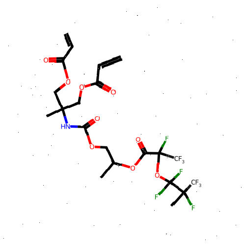 C=CC(=O)OCC(C)(COC(=O)C=C)NC(=O)OCC(C)OC(=O)C(F)(OC(F)(F)C(C)(F)C(F)(F)F)C(F)(F)F